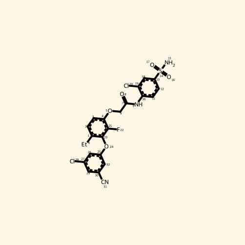 CCc1ccc(OCC(=O)Nc2ccc(S(N)(=O)=O)cc2Cl)c(F)c1Oc1cc(Cl)cc(C#N)c1